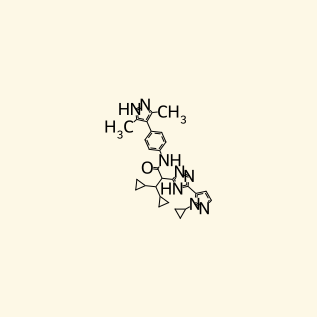 Cc1n[nH]c(C)c1-c1ccc(NC(=O)C(c2nnc(-c3ccnn3C3CC3)[nH]2)C(C2CC2)C2CC2)cc1